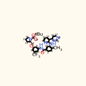 Cc1ccc(C(=O)Nc2cc(OC[C@@H]3CCCN3C(=O)OC(C)(C)C)cc(C(F)(F)F)c2)cc1Nc1ncccc1-c1ccncn1